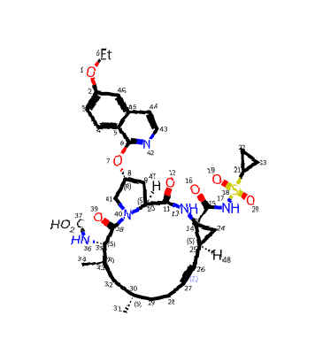 CCOc1ccc2c(O[C@@H]3C[C@H]4C(=O)N[C@]5(C(=O)NS(=O)(=O)C6CC6)C[C@H]5/C=C\CC[C@H](C)C[C@@H](C)[C@H](NC(=O)O)C(=O)N4C3)nccc2c1